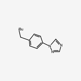 CCC(C)Cc1ccc(-n2cncn2)cc1